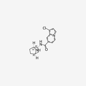 O=C(N[C@@H]1C[C@H]2CC[C@@H]1N2)c1ccn2ccc(Cl)c2c1